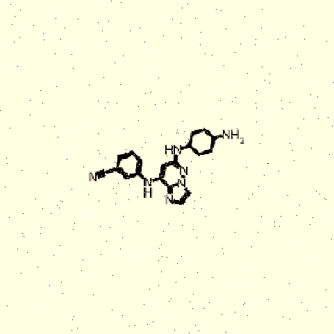 N#Cc1cccc(Nc2cc(NC3CCC(N)CC3)nn3ccnc23)c1